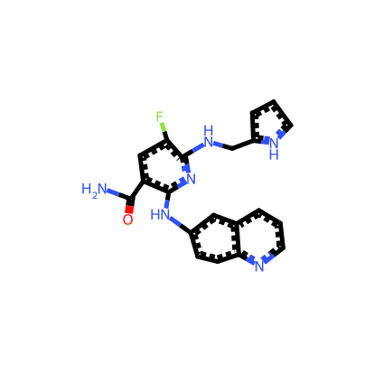 NC(=O)c1cc(F)c(NCc2ccc[nH]2)nc1Nc1ccc2ncccc2c1